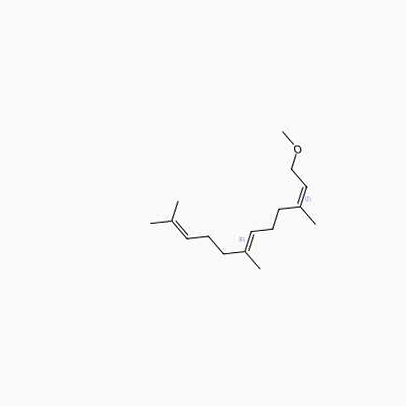 COC/C=C(/C)CC/C=C(\C)CCC=C(C)C